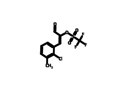 Cc1cccc(/C=C(\C=O)OS(=O)(=O)C(F)(F)F)c1Cl